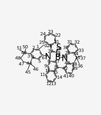 Cc1cc2c(cc1N1c3cc4ccccc4c4c3B(c3sc5ccccc5c31)N1c3ccccc3C(C)(C)c3cccc-4c31)C(C)(C)CCC2(C)C